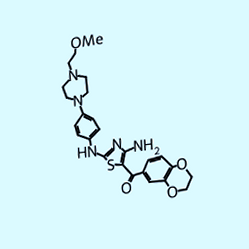 COCCN1CCN(c2ccc(Nc3nc(N)c(C(=O)c4ccc5c(c4)OCCO5)s3)cc2)CC1